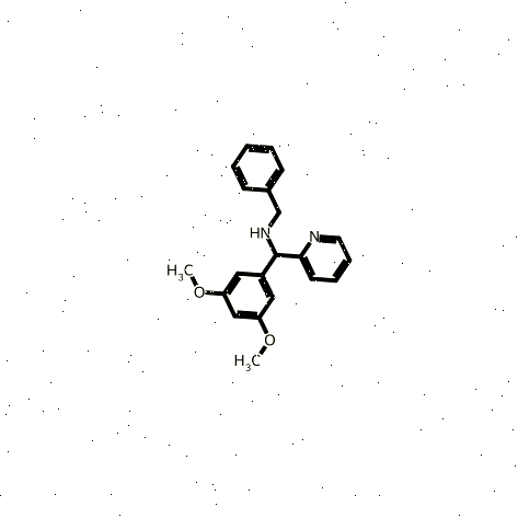 COc1cc(OC)cc(C(NCc2ccccc2)c2ccccn2)c1